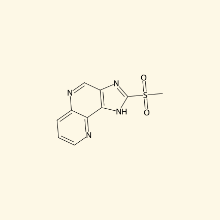 CS(=O)(=O)c1nc2cnc3cccnc3c2[nH]1